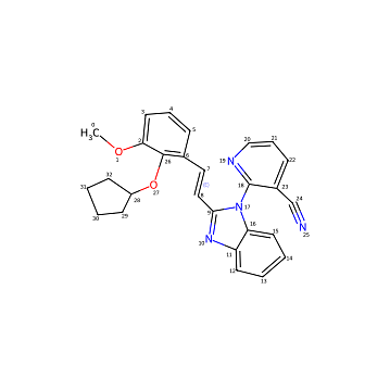 COc1cccc(/C=C/c2nc3ccccc3n2-c2ncccc2C#N)c1OC1CCCC1